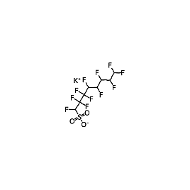 O=S(=O)([O-])C(F)C(F)(F)C(F)(F)C(F)C(F)C(F)C(F)C(F)F.[K+]